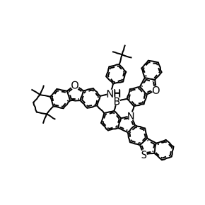 CC(C)(C)c1ccc(Nc2cc3oc4cc5c(cc4c3cc2-c2ccc3c4cc6sc7ccccc7c6cc4n4c3c2Bc2cc3c(cc2-4)oc2ccccc23)C(C)(C)CCC5(C)C)cc1